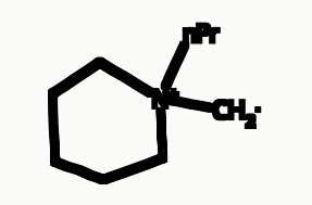 [CH2][N+]1(CCC)CCCCC1